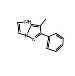 Cc1c(-c2ccccc2)nn2cc[nH]c12